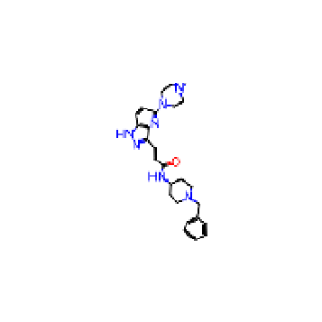 CN1CCN(c2ccc3[nH]nc(CCC(=O)NC4CCN(Cc5ccccc5)CC4)c3n2)CC1